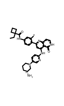 CCC1(C(=O)Nc2ccc(-c3cc(Nc4ccc(N5CCC[C@@H](N)C5)cn4)c4c(=O)[nH]ccc4n3)c(F)c2)CCC1